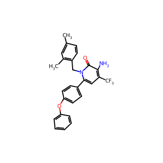 Cc1ccc(Cn2c(-c3ccc(Oc4ccccc4)cc3)cc(C(F)(F)F)c(N)c2=O)c(C)c1